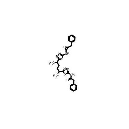 CC(CCC(C)c1nnc(NC2OC2Cc2ccccc2)s1)c1nnc(NC(=O)Cc2ccccc2)s1